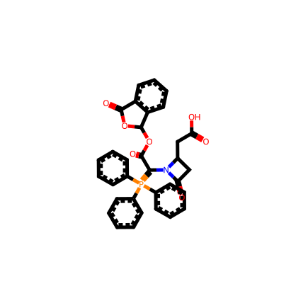 O=C(O)CC1CC(=O)N1C(C(=O)OC1OC(=O)c2ccccc21)=P(c1ccccc1)(c1ccccc1)c1ccccc1